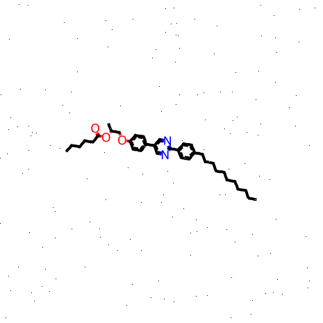 CCCCCCCCCCCc1ccc(-c2ncc(-c3ccc(OCC(C)OC(=O)CCCCC)cc3)cn2)cc1